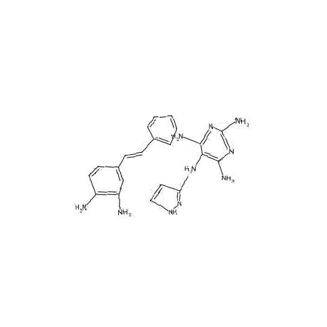 Cc1cc[nH]n1.Nc1ccc(C=Cc2ccccc2)cc1N.Nc1nc(N)c(N)c(N)n1